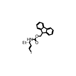 CC[C@@H](/C=C/I)NC(=O)OCC1c2ccccc2-c2ccccc21